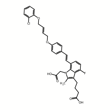 Cc1c(CCCC(=O)O)c2c(F)ccc(C=Cc3ccc(OCC=CCOc4ccccc4Cl)cc3)c2n1CC(=O)O